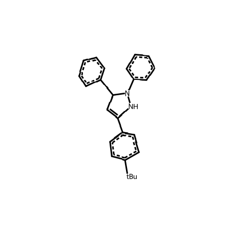 CC(C)(C)c1ccc(C2=CC(c3ccccc3)N(c3ccccc3)N2)cc1